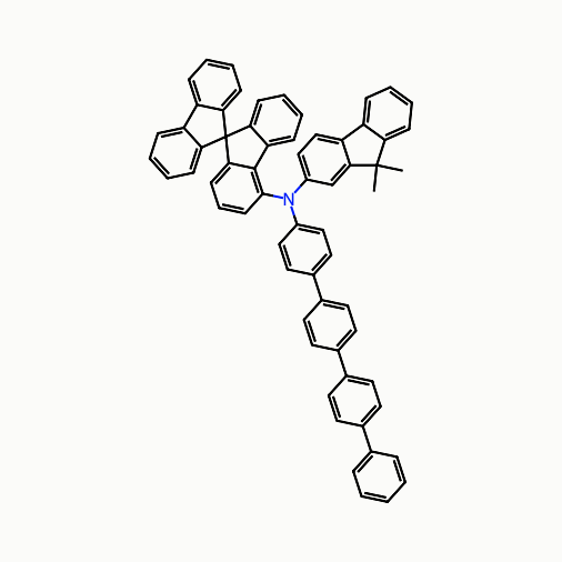 CC1(C)c2ccccc2-c2ccc(N(c3ccc(-c4ccc(-c5ccc(-c6ccccc6)cc5)cc4)cc3)c3cccc4c3-c3ccccc3C43c4ccccc4-c4ccccc43)cc21